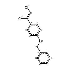 ClC=C(Cl)c1ccc(OCc2ccccc2)cc1